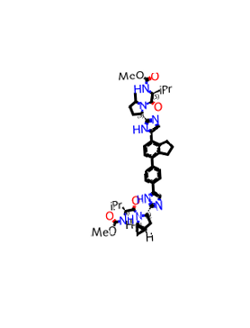 COC(=O)N[C@H](C(=O)N1C(C)CC[C@H]1c1ncc(-c2ccc(-c3ccc(-c4cnc([C@@H]5C[C@H]6C[C@H]6N5C(=O)[C@@H](NC(=O)OC)C(C)C)[nH]4)cc3)c3c2CCC3)[nH]1)C(C)C